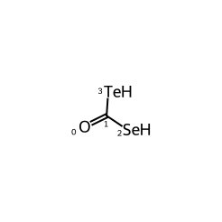 O=C([SeH])[TeH]